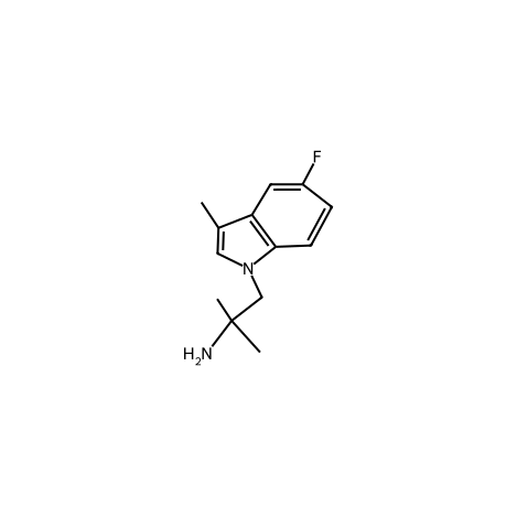 Cc1cn(CC(C)(C)N)c2ccc(F)cc12